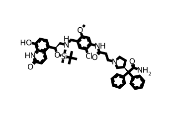 COc1cc(NC(=O)CCN2CC[C@@H](C(C(N)=O)(c3ccccc3)c3ccccc3)C2)c(Cl)cc1CNC[C@@H](O[Si](C)(C)C(C)(C)C)c1ccc(O)c2[nH]c(=O)ccc12